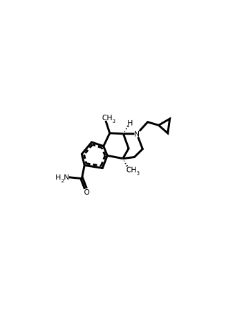 CC1c2ccc(C(N)=O)cc2[C@]2(C)CCN(CC3CC3)[C@H]1C2